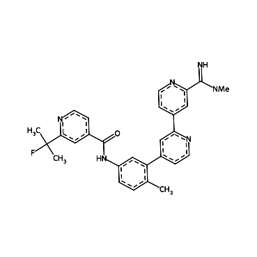 CNC(=N)c1cc(-c2cc(-c3cc(NC(=O)c4ccnc(C(C)(C)F)c4)ccc3C)ccn2)ccn1